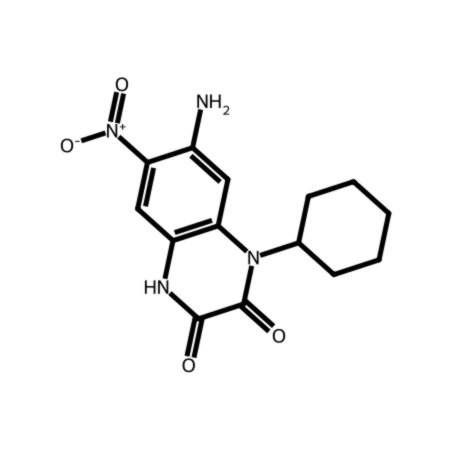 Nc1cc2c(cc1[N+](=O)[O-])[nH]c(=O)c(=O)n2C1CCCCC1